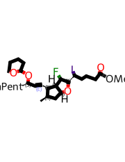 CCCCC[C@@H](/C=C/[C@@H]1[C@H]2C(F)[C@H](C(I)CCCC(=O)OC)O[C@@H]2C[C@H]1C)OC1CCCCO1